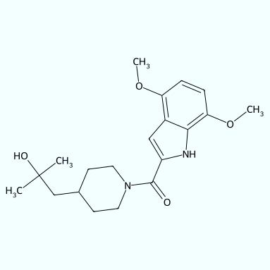 COc1ccc(OC)c2[nH]c(C(=O)N3CCC(CC(C)(C)O)CC3)cc12